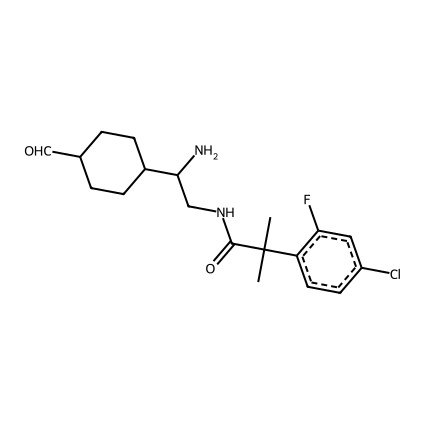 CC(C)(C(=O)NCC(N)C1CCC(C=O)CC1)c1ccc(Cl)cc1F